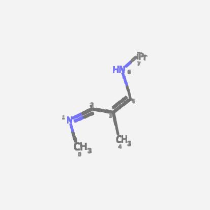 C/N=C\C(C)=C/NC(C)C